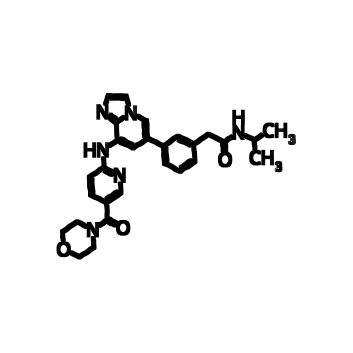 CC(C)NC(=O)Cc1cccc(-c2cc(Nc3ccc(C(=O)N4CCOCC4)cn3)c3nccn3c2)c1